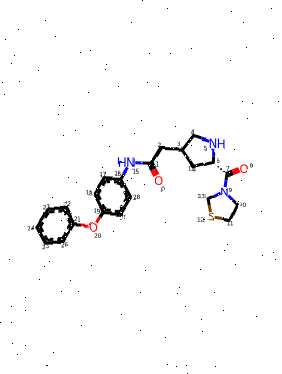 O=C(CC1CN[C@H](C(=O)N2CCSC2)C1)Nc1ccc(Oc2ccccc2)cc1